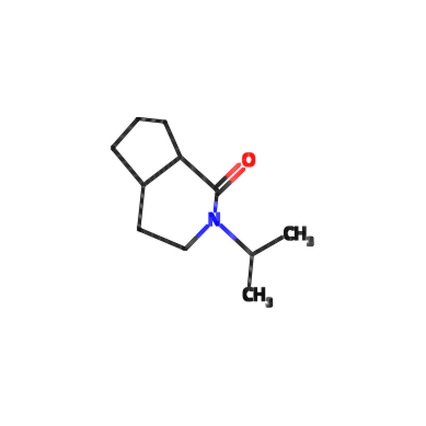 CC(C)N1CCC2CCCC2C1=O